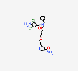 NC(=O)c1ccnc(C#CCOCCCCCCN(Cc2ccccc2)CC(O)c2cc(Cl)c(N)c(Cl)c2)c1